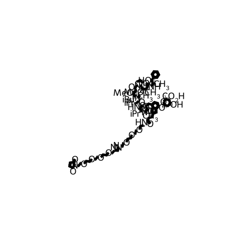 CC[C@H](C)[C@@H]([C@@H](CC(=O)N1CCC[C@H]1[C@H](OC)[C@@H](C)C(=O)N[C@H](C)[C@@H](O)c1ccccc1)OC)N(C)C(=O)[C@@H](NC(=O)[C@H](C(C)C)N(C)C(=O)OCc1ccc(O[C@H]2C[C@@H](O)C[C@@H](C(=O)O)O2)c2cc(CCC(=O)NCCOCCOCCOCCn3cc(COCCOCCOCCOCCN4C(=O)C=CC4=O)nn3)oc12)C(C)C